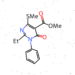 CCc1nc(SC)c(C(=O)OC)c(=O)n1-c1ccccc1